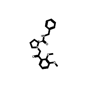 COc1cccc(C(=O)CN2CCC[C@H]2C(=O)NCc2ccccc2)c1OC